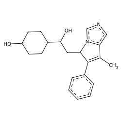 CC1=C(c2ccccc2)C(CC(O)C2CCC(O)CC2)n2cncc21